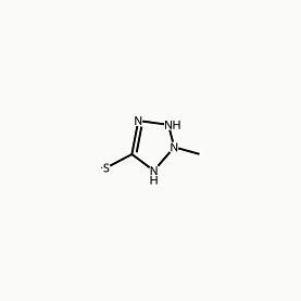 CN1NN=C([S])N1